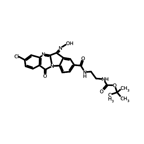 CC(C)(C)OC(=O)NCCNC(=O)c1ccc2c(c1)/C(=N\O)c1nc3cc(Cl)ccc3c(=O)n1-2